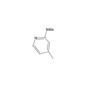 [CH2]c1ccnc(NC)c1